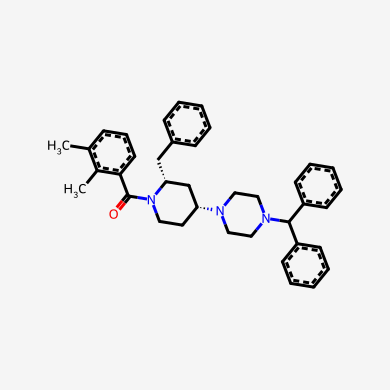 Cc1cccc(C(=O)N2CC[C@@H](N3CCN(C(c4ccccc4)c4ccccc4)CC3)C[C@H]2Cc2ccccc2)c1C